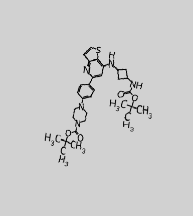 CC(C)(C)OC(=O)NC1CC(Nc2cc(-c3ccc(N4CCN(C(=O)OC(C)(C)C)CC4)cc3)nc3ccsc23)C1